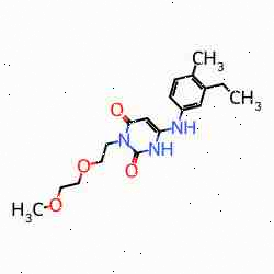 CCc1cc(Nc2cc(=O)n(CCOCCOC)c(=O)[nH]2)ccc1C